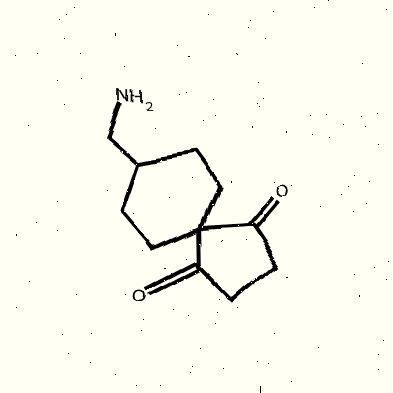 NCC1CCC2(CC1)C(=O)CCC2=O